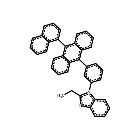 CCc1nc2ccccc2n1-c1cccc(-c2c3ccccc3c(-c3cccc4ccccc34)c3ccccc23)c1